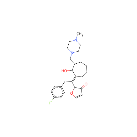 CN1CCN(CC2CCCCC(=C(Cc3ccc(F)cc3)C3OC=CC3=O)C2O)CC1